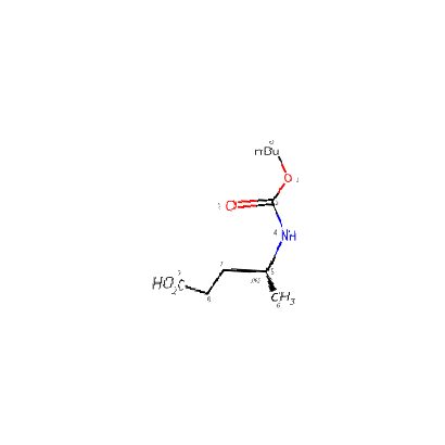 CCCCOC(=O)N[C@@H](C)CCC(=O)O